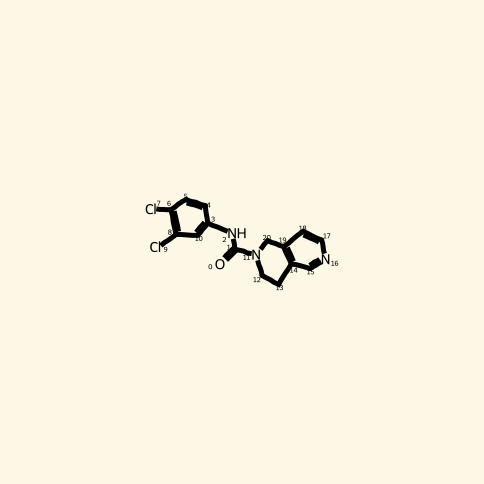 O=C(Nc1ccc(Cl)c(Cl)c1)N1CCc2cnccc2C1